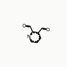 O=Cc1cccnc1C=O